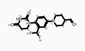 O=CC1CCN(c2ccc(N3CCC(=O)NC3=O)c(C(F)F)c2)CC1